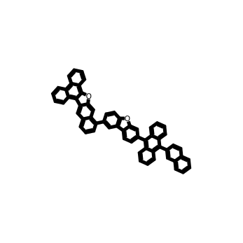 c1ccc2cc(-c3c4ccccc4c(-c4ccc5c(c4)oc4ccc(-c6cccc7cc8c(cc67)oc6c7ccccc7c7ccccc7c86)cc45)c4ccccc34)ccc2c1